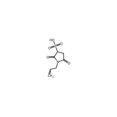 C=CCN1C(=O)CC(S(=O)(=O)O)C1=O